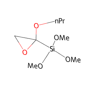 CCCOC1([Si](OC)(OC)OC)CO1